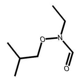 CCN(C=O)OCC(C)C